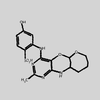 Cc1nc(Nc2cc(O)ccc2S(=O)(=O)O)c2c(n1)NC1CCCOC1O2